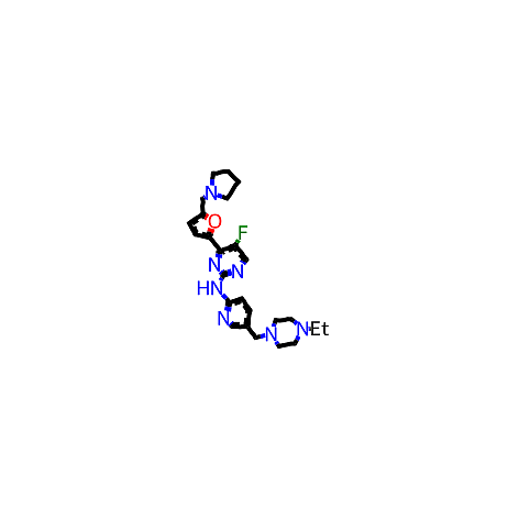 CCN1CCN(Cc2ccc(Nc3ncc(F)c(-c4ccc(CN5CCCC5)o4)n3)nc2)CC1